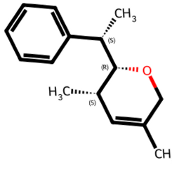 CC1=C[C@H](C)[C@H]([C@@H](C)c2ccccc2)OC1